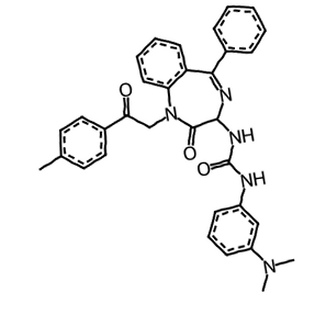 Cc1ccc(C(=O)CN2C(=O)C(NC(=O)Nc3cccc(N(C)C)c3)N=C(c3ccccc3)c3ccccc32)cc1